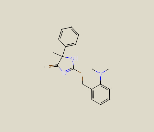 CN(C)c1ccccc1CSC1=NC(=S)C(C)(c2ccccc2)N1